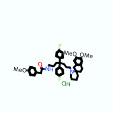 COc1ccc(CC(=O)NCCCC(CCCN2CCCCC23CCc2cc(OC)c(OC)cc2C3)(c2ccc(F)cc2)c2ccc(F)cc2)cc1.Cl